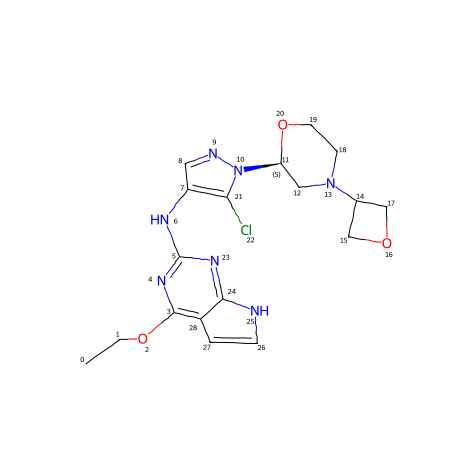 CCOc1nc(Nc2cnn([C@@H]3CN(C4COC4)CCO3)c2Cl)nc2[nH]ccc12